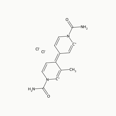 CC1=[C+]N(C(N)=O)C=CC1=C1C=[C+]N(C(N)=O)C=C1.[Cl-].[Cl-]